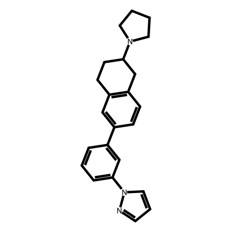 c1cc(-c2ccc3c(c2)CCC(N2CCCC2)C3)cc(-n2cccn2)c1